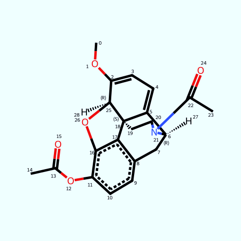 COC1=CC=C2[C@H]3Cc4ccc(OC(C)=O)c5c4[C@@]2(CCN3C(C)=O)[C@H]1O5